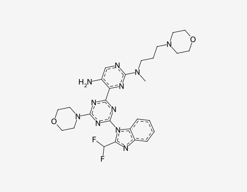 CN(CCCN1CCOCC1)c1ncc(N)c(-c2nc(N3CCOCC3)nc(-n3c(C(F)F)nc4ccccc43)n2)n1